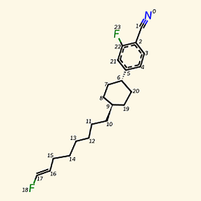 N#Cc1ccc([C@H]2CC[C@H](CCCCCCC=CF)CC2)cc1F